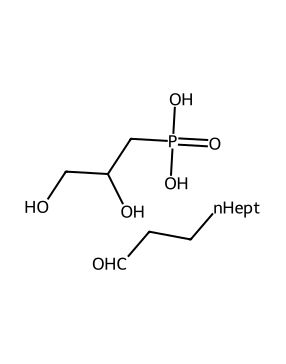 CCCCCCCCCC=O.O=P(O)(O)CC(O)CO